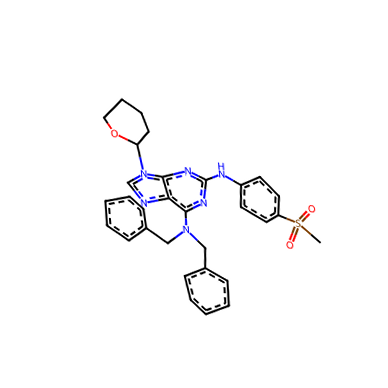 CS(=O)(=O)c1ccc(Nc2nc(N(Cc3ccccc3)Cc3ccccc3)c3ncn(C4CCCCO4)c3n2)cc1